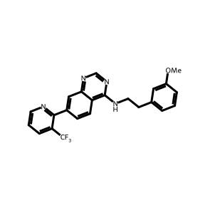 COc1cccc(CCNc2ncnc3cc(-c4ncccc4C(F)(F)F)ccc23)c1